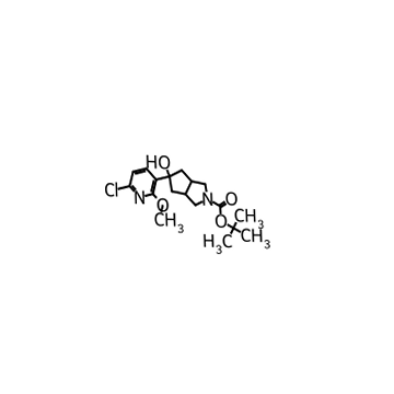 COc1nc(Cl)ccc1C1(O)CC2CN(C(=O)OC(C)(C)C)CC2C1